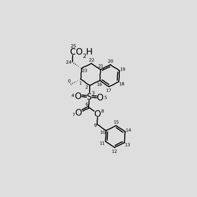 C[C@H]1C(S(=O)(=O)C(=O)OCc2ccccc2)c2ccccc2C[C@H]1CC(=O)O